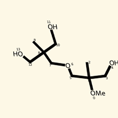 COC(C)(CO)COCC(C)(CO)CO